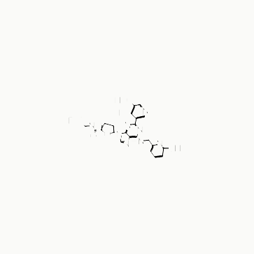 Cc1cncc(-c2nc(NCc3cccc(C)n3)c3ncn([C@@H]4O[C@H](C(=O)NCC(F)(F)F)C[C@H]4O)c3n2)c1